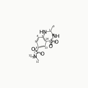 CC1Nc2ccc(S(=O)(=O)N(C)C)cc2S(=O)(=O)N1